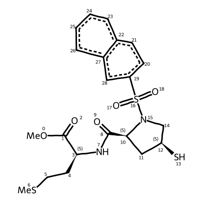 COC(=O)[C@H](CCSC)NC(=O)[C@@H]1C[C@H](S)CN1S(=O)(=O)c1ccc2ccccc2c1